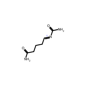 NC(=O)CCC/C=N/C(N)=O